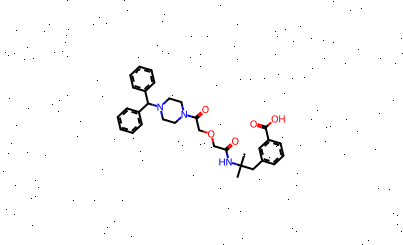 CC(C)(Cc1cccc(C(=O)O)c1)NC(=O)COCC(=O)N1CCN(C(c2ccccc2)c2ccccc2)CC1